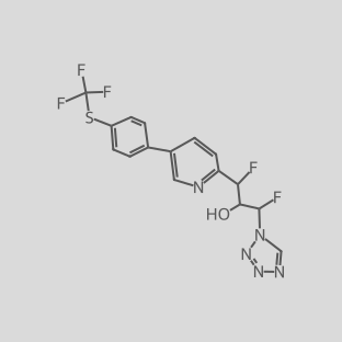 OC(C(F)c1ccc(-c2ccc(SC(F)(F)F)cc2)cn1)C(F)n1cnnn1